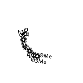 COc1cc(OC)c2c(=O)[nH]c(-c3ccc(N4CCN(Cc5ccc(C6CCC(=O)NC6=O)cc5)CC4)cc3)nc2c1